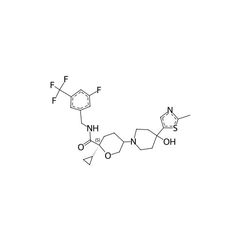 Cc1ncc(C2(O)CCN(C3CC[C@@](C(=O)NCc4cc(F)cc(C(F)(F)F)c4)(C4CC4)OC3)CC2)s1